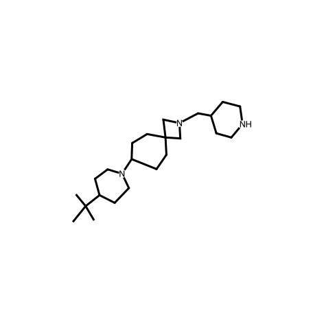 CC(C)(C)C1CCN(C2CCC3(CC2)CN(CC2CCNCC2)C3)CC1